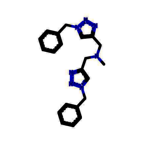 CN(Cc1cn(Cc2ccccc2)nn1)Cc1cn(Cc2ccccc2)nn1